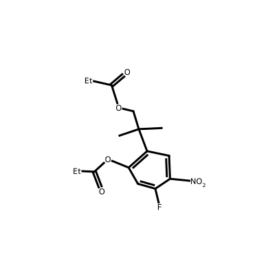 CCC(=O)OCC(C)(C)c1cc([N+](=O)[O-])c(F)cc1OC(=O)CC